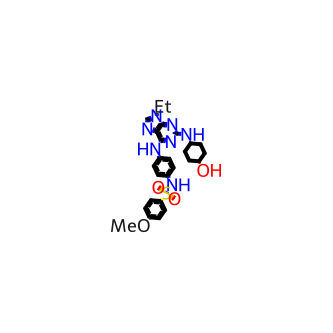 CCn1cnc2c(Nc3ccc(NS(=O)(=O)c4ccc(OC)cc4)cc3)nc(N[C@H]3CC[C@H](O)CC3)nc21